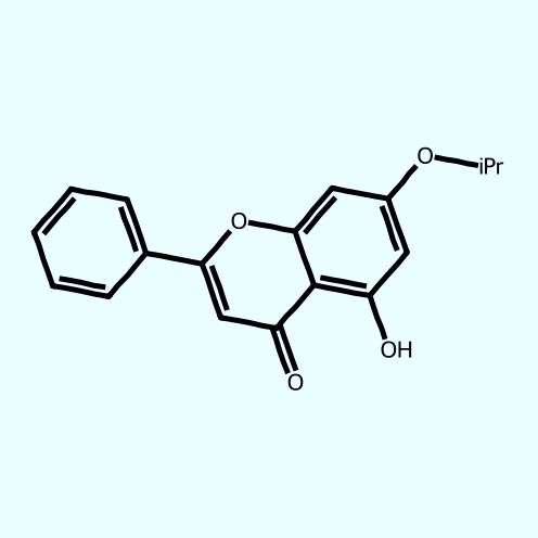 CC(C)Oc1cc(O)c2c(=O)cc(-c3ccccc3)oc2c1